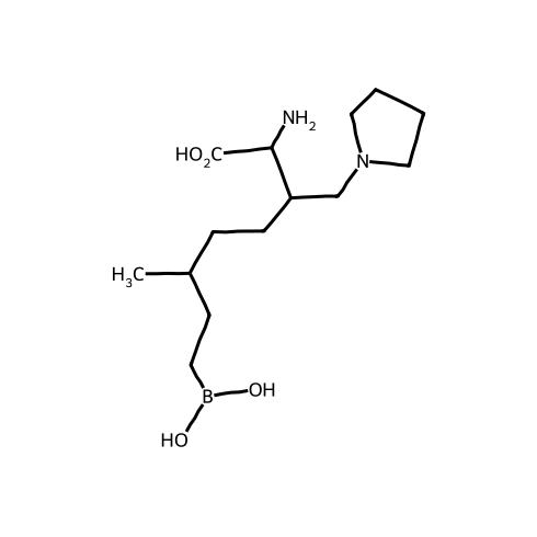 CC(CCB(O)O)CCC(CN1CCCC1)C(N)C(=O)O